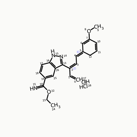 C=C/C(=C/C=C1/C=C(OC)C=CC1)c1n[nH]c2ccc(C(=N)OCC)cc12.Cl.Cl